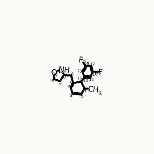 CC1C=CC=C(CC2CCON2)C1c1cc(F)cc(F)c1